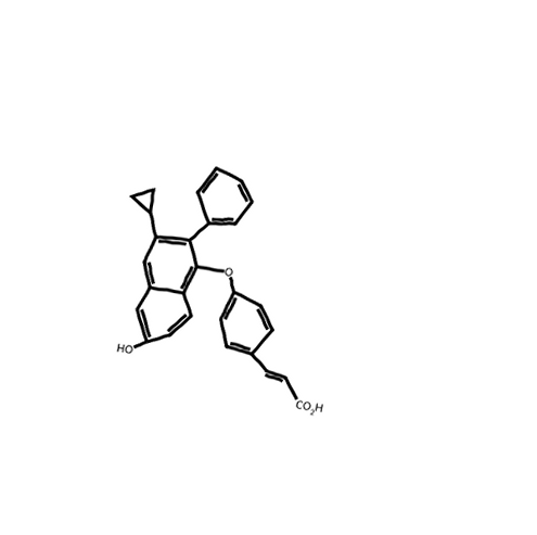 O=C(O)C=Cc1ccc(Oc2c(-c3ccccc3)c(C3CC3)cc3cc(O)ccc23)cc1